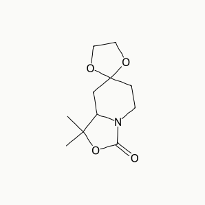 CC1(C)OC(=O)N2CCC3(CC21)OCCO3